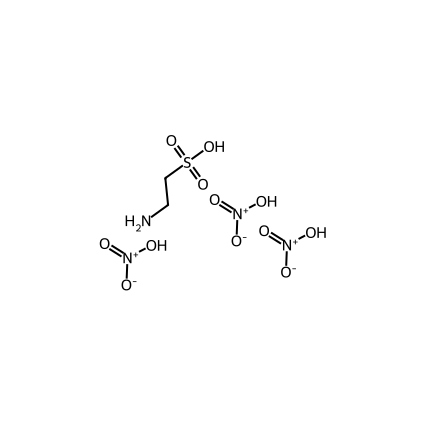 NCCS(=O)(=O)O.O=[N+]([O-])O.O=[N+]([O-])O.O=[N+]([O-])O